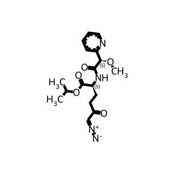 CO[C@H](C(=O)N[C@@H](CCC(=O)C=[N+]=[N-])C(=O)OC(C)C)c1ccccn1